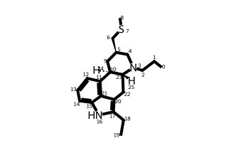 CCCN1C[C@H](CSC)C[C@@H]2c3cccc4[nH]c(CC)c(c34)C[C@H]21